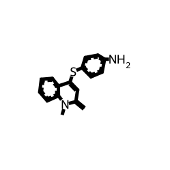 C=C1C=C(Sc2ccc(N)cc2)c2ccccc2N1C